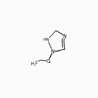 CON1C=NCN1